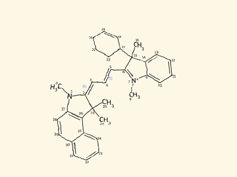 CN1/C(=C/C=C/C2=[N+](C)c3ccccc3C2(C)C2C=CCCC2)C(C)(C)c2c1ccc1ccccc21